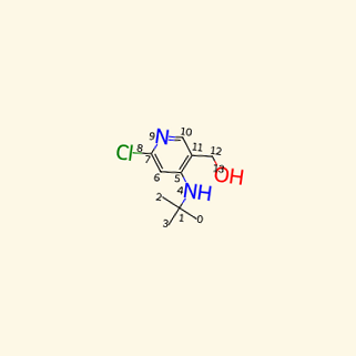 CC(C)(C)Nc1cc(Cl)ncc1CO